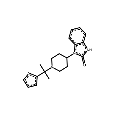 CC(C)(c1cccs1)N1CCC(n2c(=O)[nH]c3ccccc32)CC1